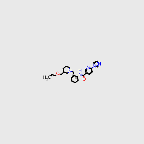 C=CCOCC1CCCN(C[C@@H]2CCCC[C@H]2NC(=O)c2ccc(-n3ccnc3)nc2)C1